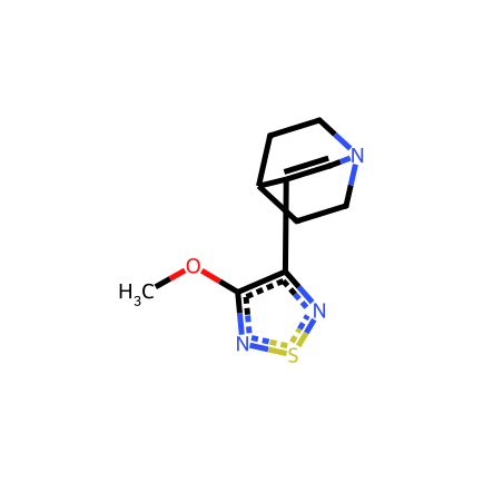 COc1nsnc1C1=CN2CCC1CC2